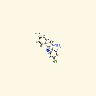 CC[C@](N)(c1ccc(Cl)cc1)[C@H](N)c1ccc(Cl)cc1